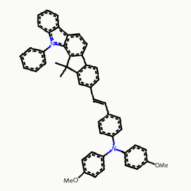 COc1ccc(N(c2ccc(/C=C/c3ccc4c(c3)C(C)(C)c3c-4ccc4c5ccccc5n(-c5ccccc5)c34)cc2)c2ccc(OC)cc2)cc1